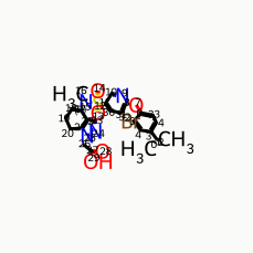 CC(C)c1ccc(Oc2ncc(S(=O)(=O)N(C)[C@@H]3CCCc4c3cnn4CC(=O)O)cc2Br)cc1